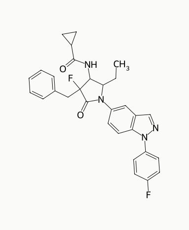 CCC1C(NC(=O)C2CC2)C(F)(Cc2ccccc2)C(=O)N1c1ccc2c(cnn2-c2ccc(F)cc2)c1